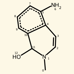 CN1C=Cc2c(N)cccc2C1O